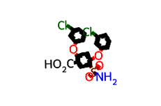 NS(=O)(=O)c1cc(C(=O)O)c(Oc2cccc(Cl)c2)cc1Oc1cccc(Cl)c1